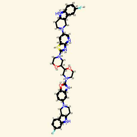 Fc1ccc2c3c([nH]c2c1)CCN(c1ccc2oc(N4CCOC(C5CN(c6nc7ncc(N8CCc9[nH]c%10ccc(F)cc%10c9C8)cc7s6)CCO5)C4)nc2c1)C3